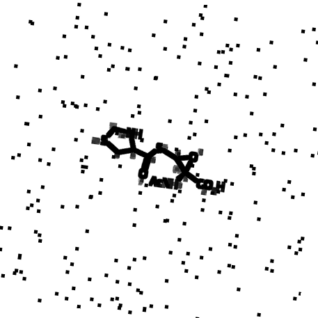 CC(=O)N[C@]1(C(=O)O)OC1SC(=O)C1CSCN1